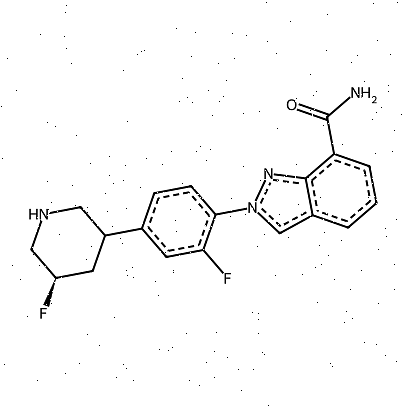 NC(=O)c1cccc2cn(-c3ccc(C4CNC[C@H](F)C4)cc3F)nc12